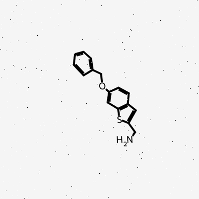 NCc1cc2ccc(OCc3ccccc3)cc2s1